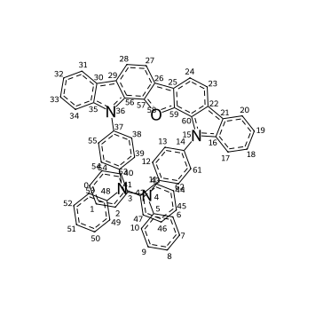 c1ccc(N(c2ccccc2)c2ccc(-n3c4ccccc4c4ccc5c6ccc7c8ccccc8n(-c8ccc(N(c9ccccc9)c9ccccc9)cc8)c7c6oc5c43)cc2)cc1